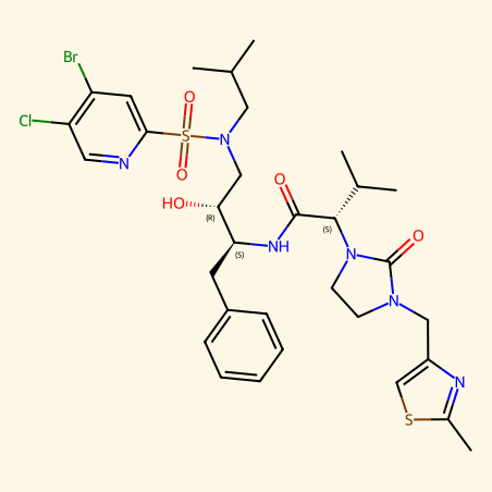 Cc1nc(CN2CCN([C@H](C(=O)N[C@@H](Cc3ccccc3)[C@H](O)CN(CC(C)C)S(=O)(=O)c3cc(Br)c(Cl)cn3)C(C)C)C2=O)cs1